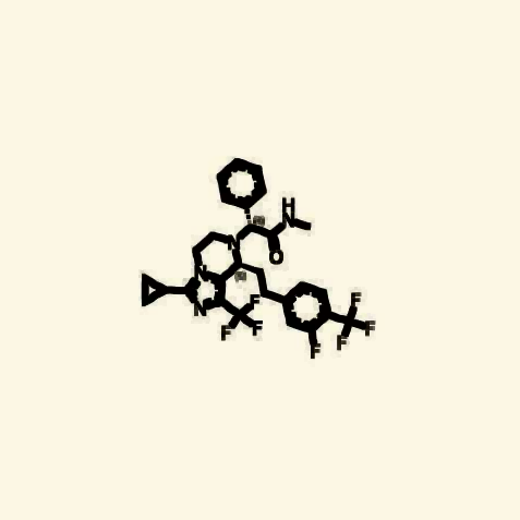 CNC(=O)[C@@H](c1ccccc1)N1CCn2c(C3CC3)nc(C(F)(F)F)c2[C@@H]1CCc1ccc(C(F)(F)F)c(F)c1